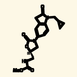 COC(=O)NC[C@H]1CN(c2ccc3c(c2)CC(=O)N3CC2CC2)C(=O)O1